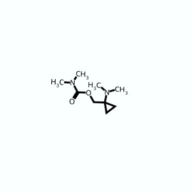 CN(C)C(=O)OCC1(N(C)C)CC1